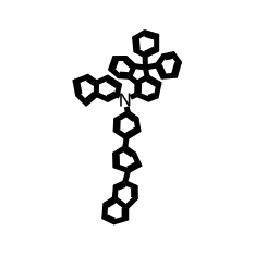 c1ccc(C2(c3ccccc3)c3ccccc3-c3c(N(c4ccc(-c5ccc(-c6ccc7ccccc7c6)cc5)cc4)c4ccc5ccccc5c4)cccc32)cc1